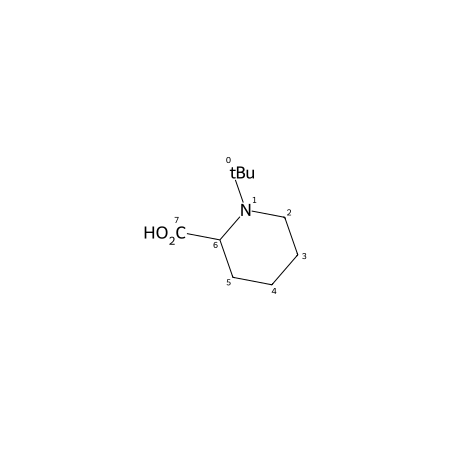 CC(C)(C)N1CCCCC1C(=O)O